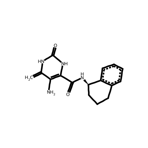 C=C1NC(=O)NC(C(=O)N[C@@H]2CCCc3ccccc32)=C1N